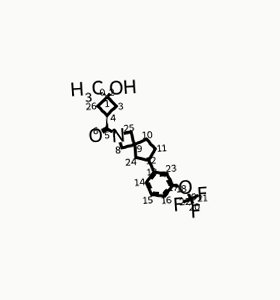 C[C@]1(O)C[C@@H](C(=O)N2CC3(CCC(c4cccc(OC(F)(F)F)c4)C3)C2)C1